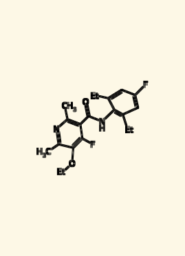 CCOc1c(C)nc(C)c(C(=O)Nc2c(CC)cc(F)cc2CC)c1F